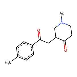 CC(=O)N1CCC(=O)C(CC(=O)c2ccc(C)cc2)C1